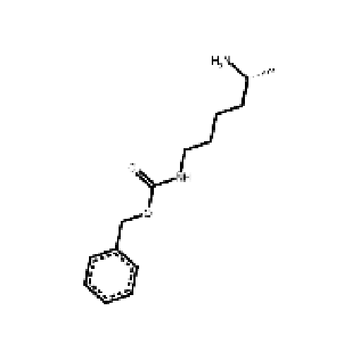 C[C@@H](N)CCCCNC(=O)OCc1ccccc1